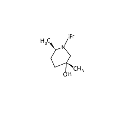 CC(C)N1C[C@](C)(O)CC[C@H]1C